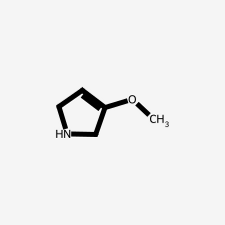 COC1=[C]CNC1